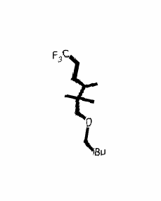 CCC(C)COCC(C)(C)C(C)CCC(F)(F)F